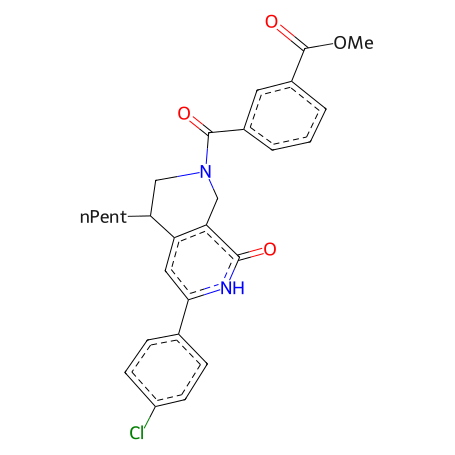 CCCCCC1CN(C(=O)c2cccc(C(=O)OC)c2)Cc2c1cc(-c1ccc(Cl)cc1)[nH]c2=O